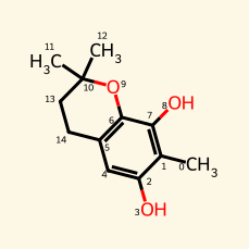 Cc1c(O)cc2c(c1O)OC(C)(C)CC2